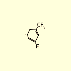 FC1=C[CH]CC(C(F)(F)F)=C1